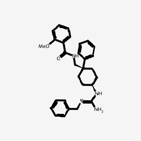 COc1ccccc1C(=O)NC[C@]1(c2ccccc2)CC[C@H](NC(N)=NCc2ccccc2)CC1